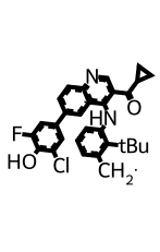 [CH2]c1cccc(Nc2c(C(=O)C3CC3)cnc3ccc(-c4cc(F)c(O)c(Cl)c4)cc23)c1C(C)(C)C